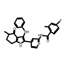 Cc1cc(F)ccc1C(=O)Nc1cc(-c2[nH]c3c(c2Nc2ccccc2)C(=O)C(C)CC3)ccn1